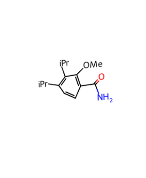 COc1c(C(N)=O)ccc(C(C)C)c1C(C)C